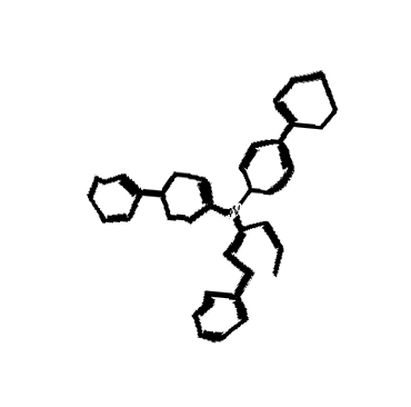 C/C=C\C(=C/Cc1ccccc1)N(C1=CCC(C2=CCCC=C2)CC1)C1C=CC(C2=CCCCC2)=CC1